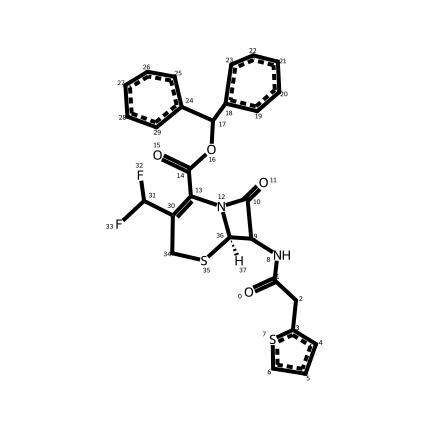 O=C(Cc1cccs1)NC1C(=O)N2C(C(=O)OC(c3ccccc3)c3ccccc3)=C(C(F)F)CS[C@H]12